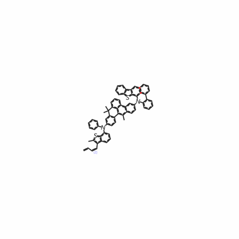 C=C/C=C\c1c(C)sc2c(N(c3ccccc3)c3ccc4c(c3)C(C)(C)c3cccc5c3c-4c(C)c3ccc(N(c4ccccc4-c4ccccc4)c4cccc6c4sc4ccccc46)cc35)cccc12